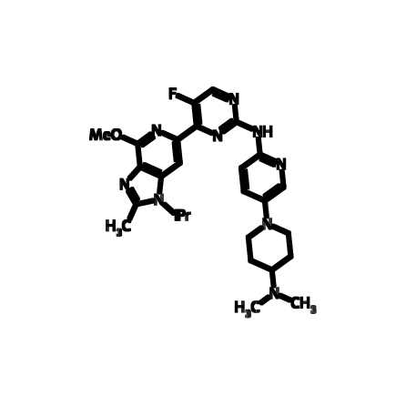 COc1nc(-c2nc(Nc3ccc(N4CCC(N(C)C)CC4)cn3)ncc2F)cc2c1nc(C)n2C(C)C